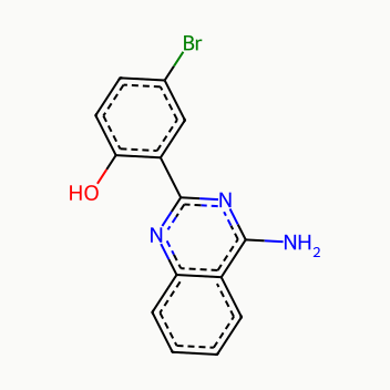 Nc1nc(-c2cc(Br)ccc2O)nc2ccccc12